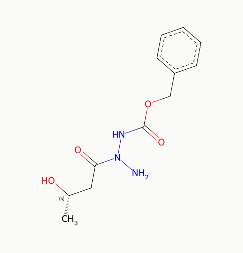 C[C@H](O)CC(=O)N(N)NC(=O)OCc1ccccc1